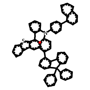 c1ccc(C2(c3ccccc3)c3ccccc3-c3c(-c4ccc(N(c5ccc(-c6cccc7ccccc67)cc5)c5ccccc5-c5cccc6c5sc5ccccc56)cc4)cccc32)cc1